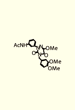 COc1ccc(Cn2c(=O)c(OC)nn(-c3cccc(NC(C)=O)c3)c2=O)cc1OC